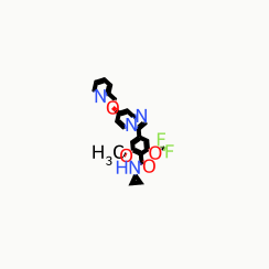 COc1cc(-c2cnc3cc(OCc4ccccn4)ccn23)cc(OC(F)F)c1C(=O)NC1CC1